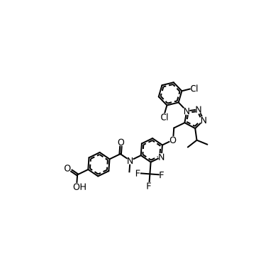 CC(C)c1nnn(-c2c(Cl)cccc2Cl)c1COc1ccc(N(C)C(=O)c2ccc(C(=O)O)cc2)c(C(F)(F)F)n1